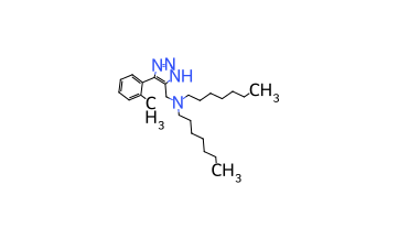 CCCCCCCN(CCCCCCC)Cc1[nH]nnc1-c1ccccc1C